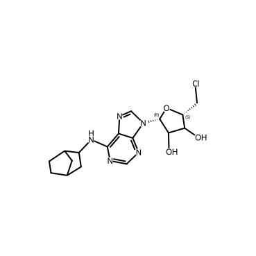 OC1C(O)[C@@H](CCl)O[C@H]1n1cnc2c(NC3CC4CCC3C4)ncnc21